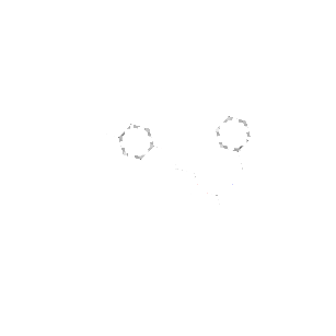 CCCCCCCCc1ccc(OCCOC(C)[N+](C)(C)Cc2ccccc2)cc1.[Cl-]